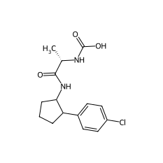 C[C@H](NC(=O)O)C(=O)NC1CCCC1c1ccc(Cl)cc1